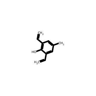 C=Cc1cc(C)cc(C=C)c1O